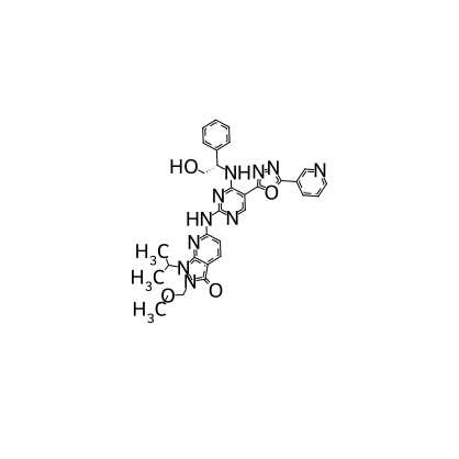 COCn1c(=O)c2ccc(Nc3ncc(-c4nnc(-c5cccnc5)o4)c(N[C@H](CO)c4ccccc4)n3)nc2n1C(C)C